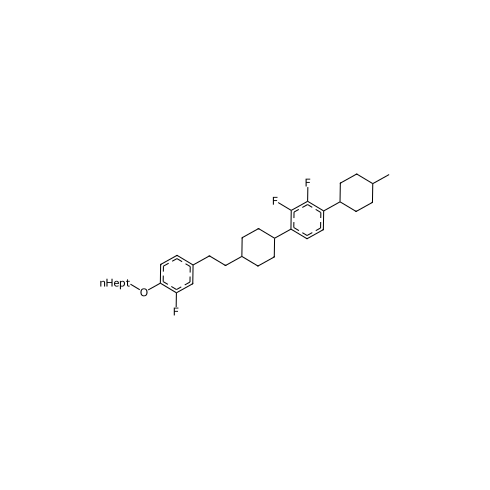 CCCCCCCOc1ccc(CCC2CCC(c3ccc(C4CCC(C)CC4)c(F)c3F)CC2)cc1F